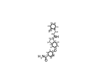 NC(=O)c1ccc(Oc2ccc3c(c2)CCC3NCCc2ccccc2F)nc1